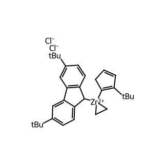 CC(C)(C)C1=[C]([Zr+2]2([CH]3c4ccc(C(C)(C)C)cc4-c4cc(C(C)(C)C)ccc43)[CH2][CH2]2)CC=C1.[Cl-].[Cl-]